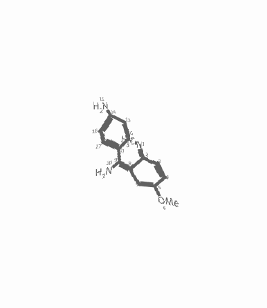 C/N=C1/C=CC(OC)=C/C1=C(\N)c1ccc(N)cc1